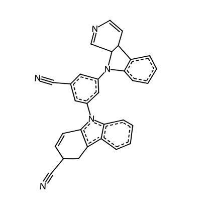 N#Cc1cc(N2c3ccccc3C3C=CN=CC32)cc(-n2c3c(c4ccccc42)CC(C#N)C=C3)c1